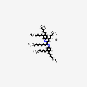 CCCCCCCCC(=Nc1ccc(CCCCC)c(CCCCC)c1)C(CCCCCC)=Nc1ccc(CCCCC)c(CCCCC)c1.[Ni]